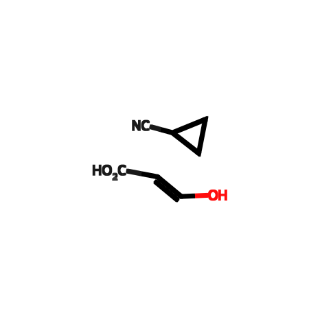 N#CC1CC1.O=C(O)C=CO